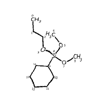 CCCO[Si](OC)(OC)C1CCCCC1